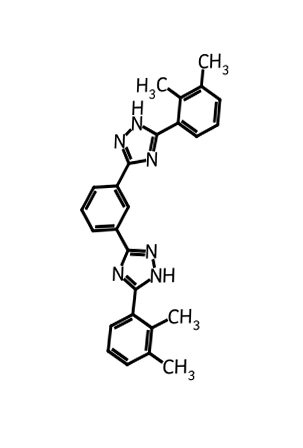 Cc1cccc(-c2nc(-c3cccc(-c4n[nH]c(-c5cccc(C)c5C)n4)c3)n[nH]2)c1C